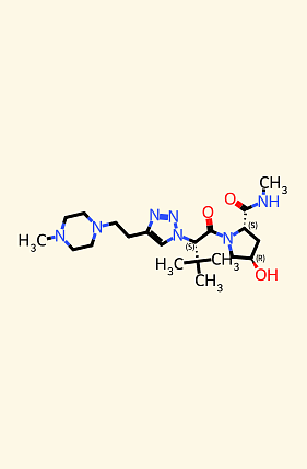 CNC(=O)[C@@H]1C[C@@H](O)CN1C(=O)[C@@H](n1cc(CCN2CCN(C)CC2)nn1)C(C)(C)C